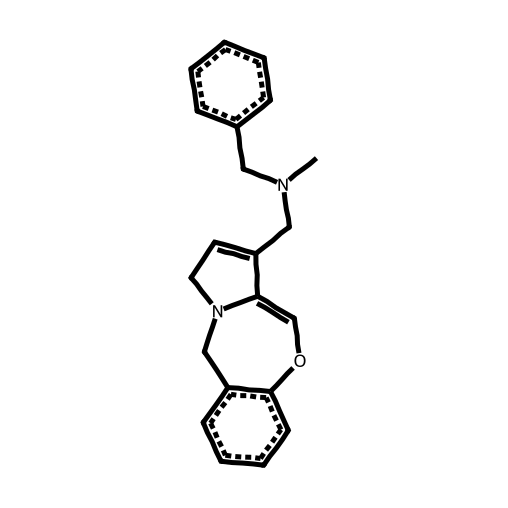 CN(CC1=CCN2Cc3ccccc3OC=C12)Cc1ccccc1